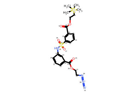 C[SH](C)(C)(C)CCOC(=O)c1cccc(S(=O)(=O)Nc2cccc(C(=O)OCCN=[N+]=[N-])c2)c1